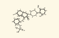 Cc1ccc2cc(C3CCC(c4c(C)cccc4F)CC3)c(=O)n(Cc3ncccc3CC(F)(F)F)c2n1